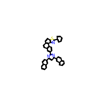 c1ccc(-c2nc3c(ccc4ccc5cc(-c6nc(-c7ccc8ccccc8c7)cc(-c7ccc8ccccc8c7)n6)ccc5c43)s2)cc1